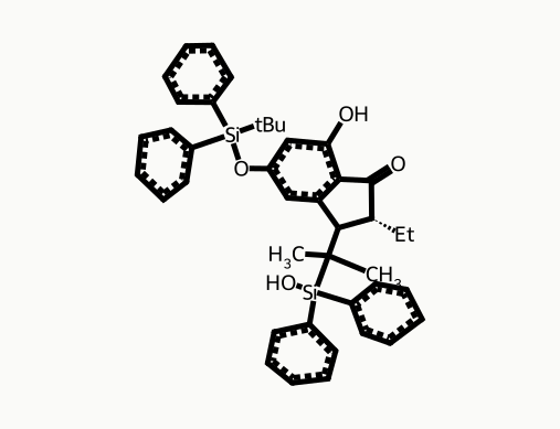 CC[C@H]1C(=O)c2c(O)cc(O[Si](c3ccccc3)(c3ccccc3)C(C)(C)C)cc2C1C(C)(C)[Si](O)(c1ccccc1)c1ccccc1